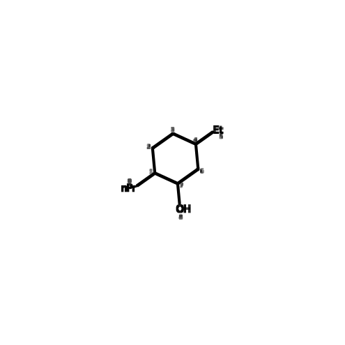 CCCC1CCC(CC)CC1O